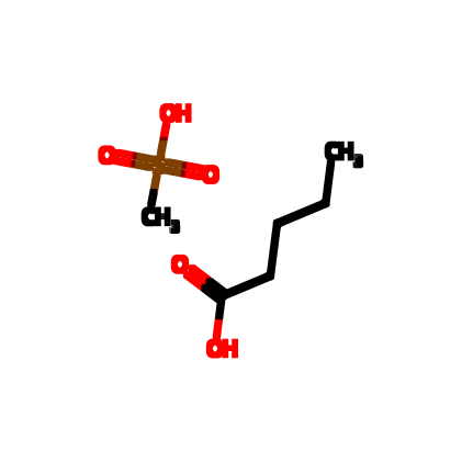 CCCCC(=O)O.CS(=O)(=O)O